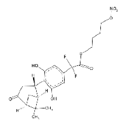 CC1(C)[C@@H]2C[C@H]1[C@@H](c1c(O)cc(C(F)(F)C(=O)OCCCCO[N+](=O)[O-])cc1O)CC2=O